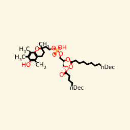 CCCCCCCCCCCCCCCCCC(=O)O[C@H](COC(=O)CCCCCCCCCCCCC)COP(=O)(O)OCCC1(C)CCc2c(C)c(O)c(C)c(C)c2O1